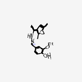 C=C(N/N=C/c1ccc(O)c(OCC)c1)c1cc(C)oc1C